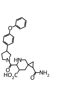 NC(=O)C1CC12CNC(C(=O)N1CCC(c3ccc(Oc4ccccc4)cc3)C1)C(C(=O)O)C2